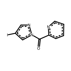 O=C(c1ccccn1)n1cc(I)cn1